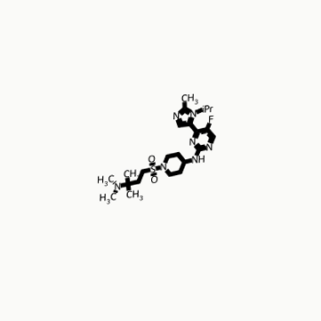 Cc1ncc(-c2nc(NC3CCN(S(=O)(=O)CCC(C)(C)N(C)C)CC3)ncc2F)n1C(C)C